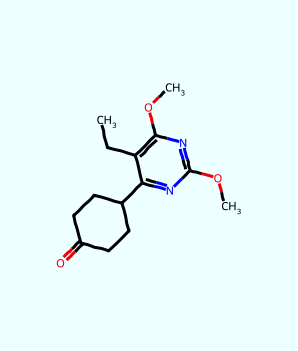 CCc1c(OC)nc(OC)nc1C1CCC(=O)CC1